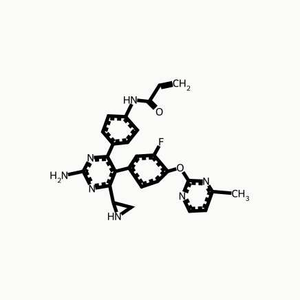 C=CC(=O)Nc1ccc(-c2nc(N)nc(C3CN3)c2-c2ccc(Oc3nccc(C)n3)c(F)c2)cc1